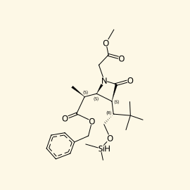 COC(=O)CN1C(=O)[C@@H]([C@@H](CO[SiH](C)C)C(C)(C)C)[C@H]1[C@H](C)C(=O)OCc1ccccc1